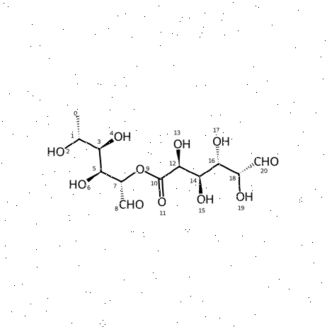 C[C@@H](O)[C@@H](O)[C@H](O)[C@@H](C=O)OC(=O)[C@@H](O)[C@H](O)[C@H](O)[C@@H](O)C=O